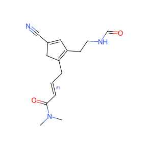 CN(C)C(=O)/C=C/CC1=C(CCNC=O)C=C(C#N)C1